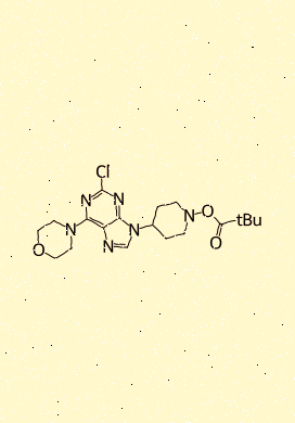 CC(C)(C)C(=O)ON1CCC(n2cnc3c(N4CCOCC4)nc(Cl)nc32)CC1